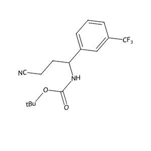 CC(C)(C)OC(=O)NC(CCC#N)c1cccc(C(F)(F)F)c1